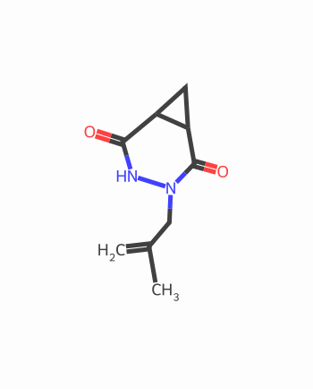 C=C(C)CN1NC(=O)C2CC2C1=O